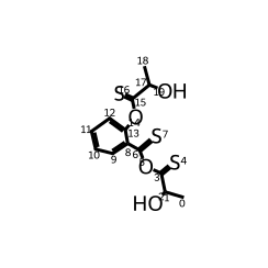 CC(O)C(=S)OC(=S)c1ccccc1OC(=S)C(C)O